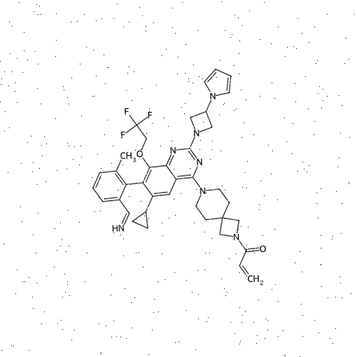 C=CC(=O)N1CC2(CCN(c3nc(N4CC(n5cccc5)C4)nc4c(OCC(F)(F)F)c(-c5c(C)cccc5C=N)c(C5CC5)cc34)CC2)C1